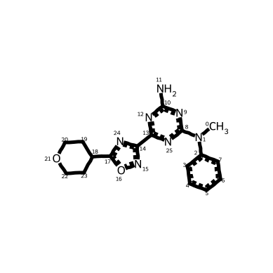 CN(c1ccccc1)c1nc(N)nc(-c2noc(C3CCOCC3)n2)n1